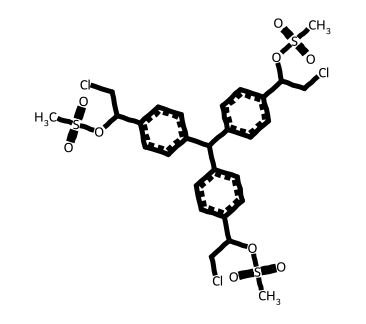 CS(=O)(=O)OC(CCl)c1ccc(C(c2ccc(C(CCl)OS(C)(=O)=O)cc2)c2ccc(C(CCl)OS(C)(=O)=O)cc2)cc1